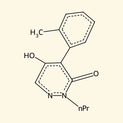 CCCn1ncc(O)c(-c2ccccc2C)c1=O